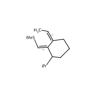 C/C=C1/CCCC(C(C)C)/C1=C/SC